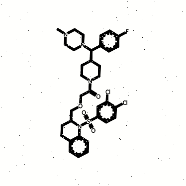 CN1CCN(C(c2ccc(F)cc2)C2CCN(C(=O)COCC3CCc4ccccc4N3S(=O)(=O)c3ccc(Cl)c(Cl)c3)CC2)CC1